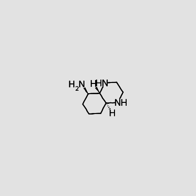 N[C@@H]1CCC[C@@H]2NCCN[C@@H]12